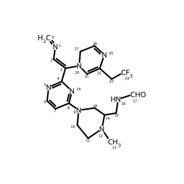 C=N/C=C(/c1nccc(N2CCN(C)C(CNC=O)C2)n1)N1C=C(CC(F)(F)F)N=CC1